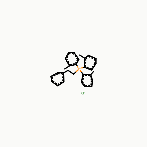 Cc1ccccc1[P+](CCc1ccccc1)(c1ccccc1C)c1ccccc1C.[Cl-]